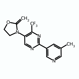 C=C1OCCN1c1cnc(-c2cncc(C)c2)nc1C(F)(F)F